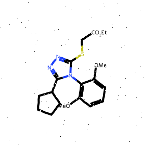 CCOC(=O)CSc1nnc(C2CCCC2)n1-c1c(OC)cccc1OC